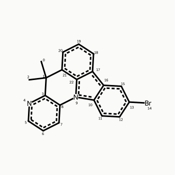 CC1(C)c2ncccc2-n2c3ccc(Br)cc3c3cccc1c32